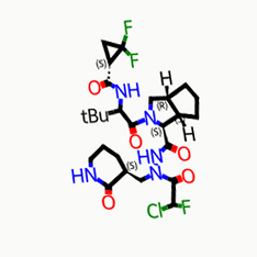 CC(C)(C)C(NC(=O)[C@@H]1CC1(F)F)C(=O)N1C[C@@H]2CCC[C@@H]2[C@H]1C(=O)NN(C[C@@H]1CCCNC1=O)C(=O)C(F)Cl